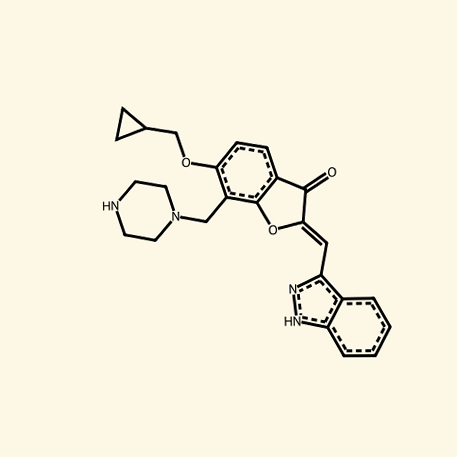 O=C1C(=Cc2n[nH]c3ccccc23)Oc2c1ccc(OCC1CC1)c2CN1CCNCC1